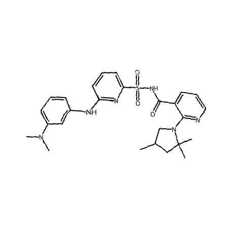 CC1CN(c2ncccc2C(=O)NS(=O)(=O)c2cccc(Nc3cccc(N(C)C)c3)n2)C(C)(C)C1